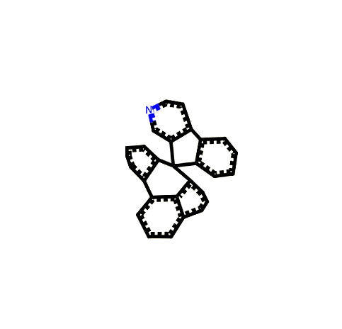 c1ccc2c(c1)-c1ccncc1C21c2ccccc2-c2cccc3cccc1c23